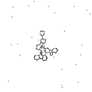 c1ccc(-c2ccc3c(c2)c2cccc4c2n3-c2cc3c(oc5ccccc53)c3c2B4n2c4ccccc4c4cccc-3c42)cc1